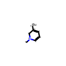 CCC(C)C1=CC=CN(C)C1